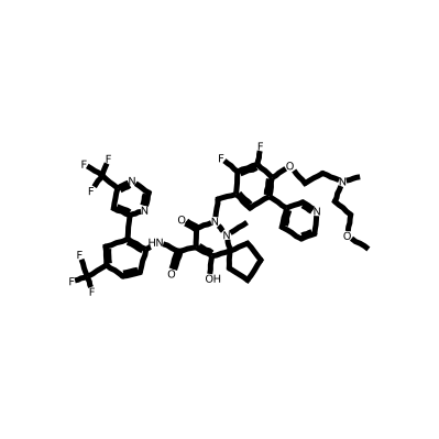 COCCN(C)CCOc1c(-c2cccnc2)cc(CN2C(=O)C(C(=O)Nc3ccc(C(F)(F)F)cc3-c3cc(C(F)(F)F)ncn3)=C(O)C3(CCCC3)N2C)c(F)c1F